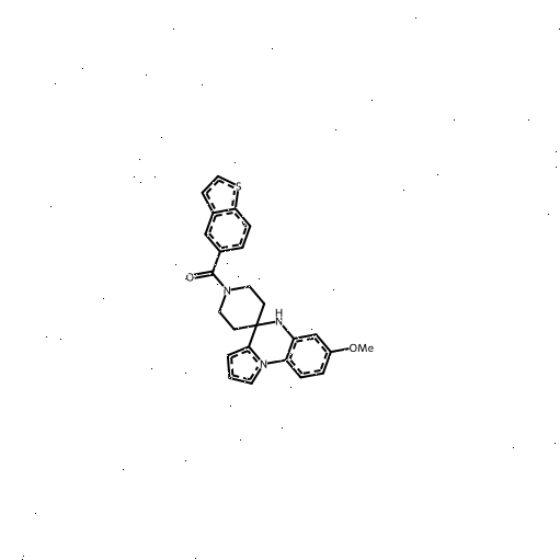 COc1ccc2c(c1)NC1(CCN(C(=O)c3ccc4sccc4c3)CC1)c1cccn1-2